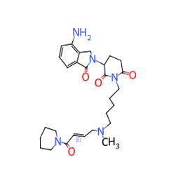 CN(C/C=C/C(=O)N1CCCCC1)CCCCCN1C(=O)CCC(N2Cc3c(N)cccc3C2=O)C1=O